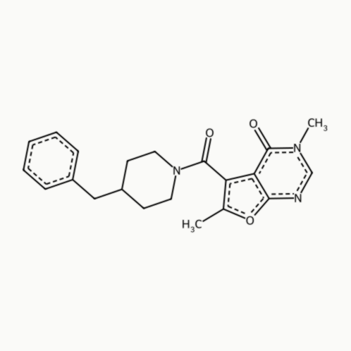 Cc1oc2ncn(C)c(=O)c2c1C(=O)N1CCC(Cc2ccccc2)CC1